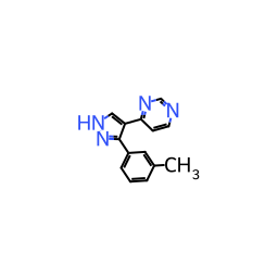 Cc1cccc(-c2n[nH]cc2-c2ccncn2)c1